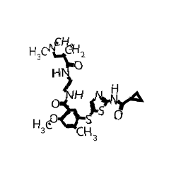 C=C(CN(C)C)C(=O)NCCNC(=O)c1cc(Sc2cnc(NC(=O)C3CC3)s2)c(C)cc1OC